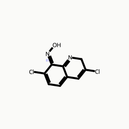 O/N=C1/C(Cl)=CC=C2C=C(Cl)CN=C21